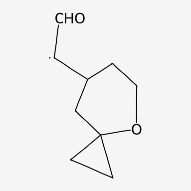 O=C[CH]C1CCOC2(CC2)C1